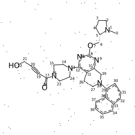 CN1CCC[C@H]1COc1nc2c(c(N3CCN(C(=O)C#CCO)CC3)n1)CCN(c1cccc3ccccc13)C2